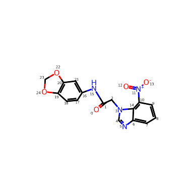 O=C(Cn1cnc2cccc([N+](=O)[O-])c21)Nc1ccc2c(c1)OCO2